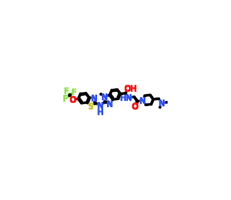 CN(C)CC1CCN(C(=O)CNC(O)c2ccc3c(c2)nc(Nc2nc4ccc(OC(F)(F)F)cc4s2)n3C)CC1